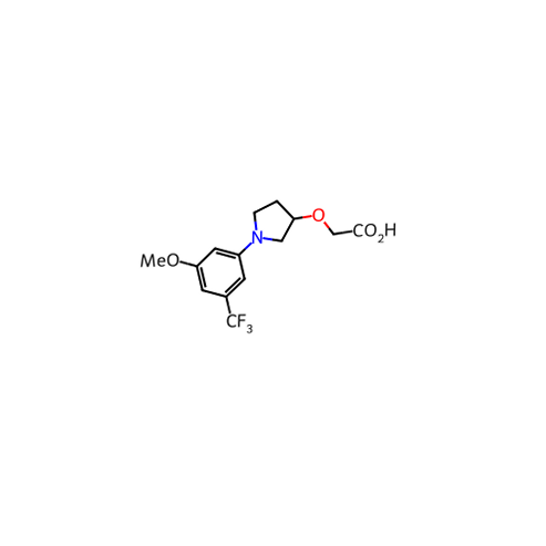 COc1cc(N2CCC(OCC(=O)O)C2)cc(C(F)(F)F)c1